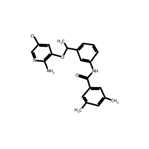 Cc1cc(C)cc(C(=O)Nc2cccc(C(C)Oc3cc(Cl)cnc3N)c2)c1